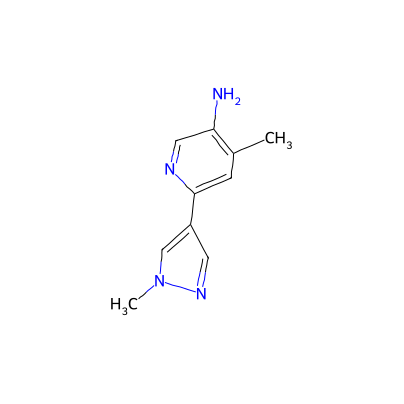 Cc1cc(-c2cnn(C)c2)ncc1N